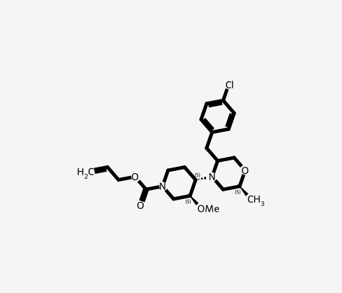 C=CCOC(=O)N1CC[C@H](N2C[C@H](C)OCC2Cc2ccc(Cl)cc2)[C@@H](OC)C1